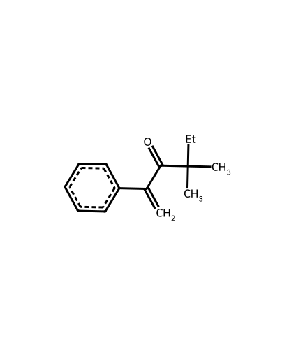 C=C(C(=O)C(C)(C)CC)c1ccccc1